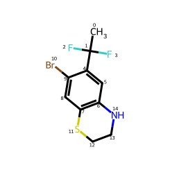 CC(F)(F)c1cc2c(cc1Br)SCCN2